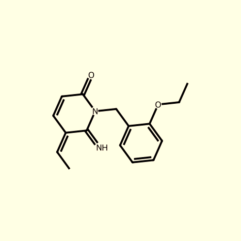 C/C=C1/C=CC(=O)N(Cc2ccccc2OCC)C1=N